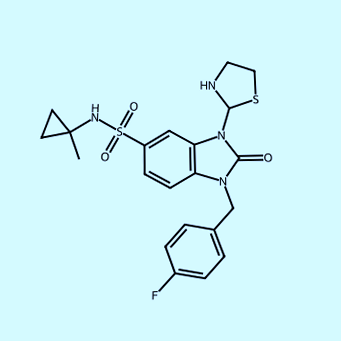 CC1(NS(=O)(=O)c2ccc3c(c2)n(C2NCCS2)c(=O)n3Cc2ccc(F)cc2)CC1